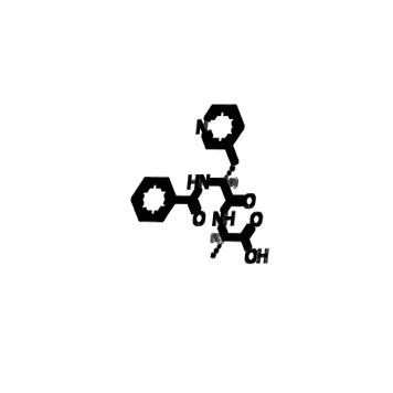 C[C@H](NC(=O)[C@@H](Cc1cccnc1)NC(=O)c1ccccc1)C(=O)O